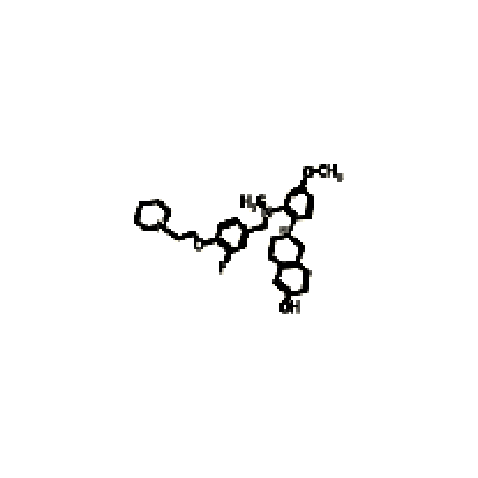 COc1ccc([C@@H]2CCc3cc(O)ccc3C2)c(N(C)Cc2ccc(OCCN3CCCCC3)c(F)c2)c1